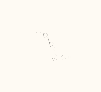 C=C(C)C(=O)OCC(CCCCC1=C(F)C(F)=C(/C=C/c2ccc(CCCCC)cc2)CC1)COC